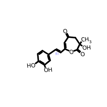 CC1(O)CC(=O)C=C(/C=C/c2ccc(O)c(O)c2)OC1=O